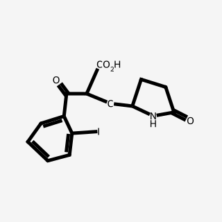 O=C1CCC(CC(C(=O)O)C(=O)c2ccccc2I)N1